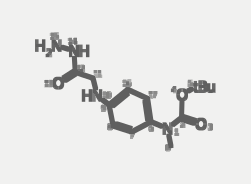 CN(C(=O)OC(C)(C)C)c1ccc(NCC(=O)NN)cc1